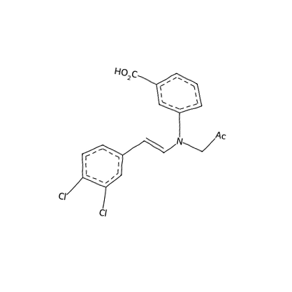 CC(=O)CN(C=Cc1ccc(Cl)c(Cl)c1)c1cccc(C(=O)O)c1